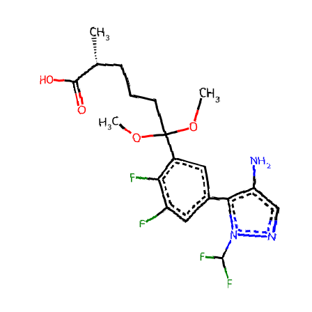 COC(CCC[C@@H](C)C(=O)O)(OC)c1cc(-c2c(N)cnn2C(F)F)cc(F)c1F